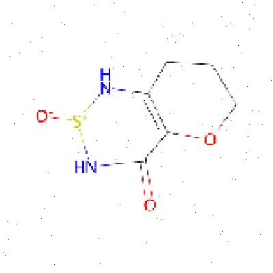 O=C1N[S+]([O-])NC2=C1OCCC2